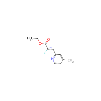 CCOC(=O)/C(F)=C/c1cc(C)ccn1